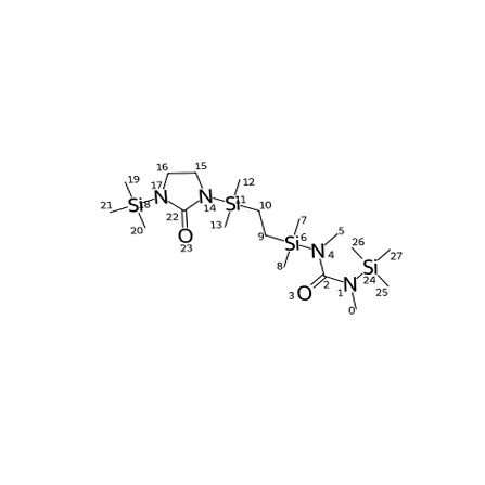 CN(C(=O)N(C)[Si](C)(C)CC[Si](C)(C)N1CCN([Si](C)(C)C)C1=O)[Si](C)(C)C